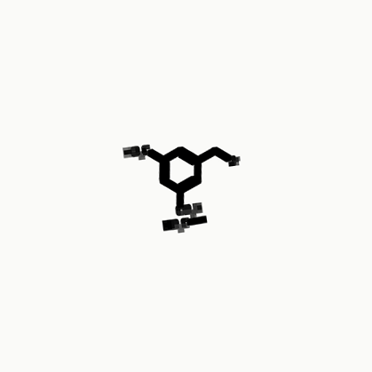 CC(=O)O.O=C(O)c1cc(CBr)cc(C(=O)O)c1